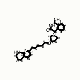 CCc1ccccc1C(C(=O)O)N1CC[C@@H](OCCCCCc2ccc3c(n2)NCCC3)C1